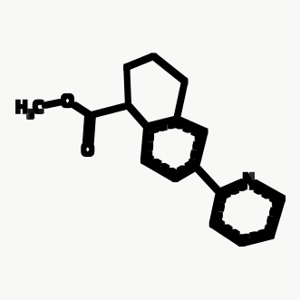 COC(=O)C1CCCc2cc(-c3ccccn3)ccc21